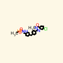 CCO[PH](=O)NCc1ccc(Cc2ccc(-c3nc4cc(Cl)ccc4c(=O)n3C)cc2)cc1